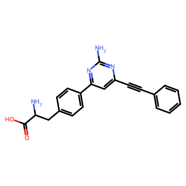 Nc1nc(C#Cc2ccccc2)cc(-c2ccc(CC(N)C(=O)O)cc2)n1